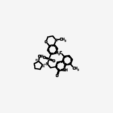 Cc1ccc(C)c2[nH]c(=O)c(CN([C@@H]3CCC[C@H]3O)S(=O)(=O)c3ccc4c(c3)OCCN4C)cc12